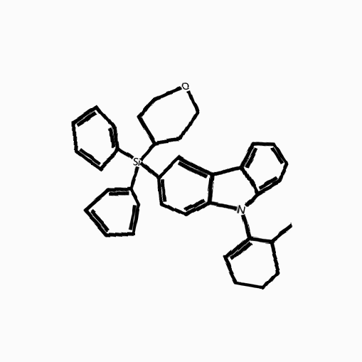 CC1CCCC=C1n1c2ccccc2c2cc([Si](c3ccccc3)(c3ccccc3)C3CCOCC3)ccc21